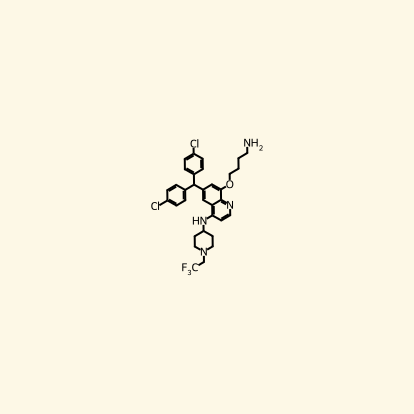 NCCCCOc1cc(C(c2ccc(Cl)cc2)c2ccc(Cl)cc2)cc2c(NC3CCN(CC(F)(F)F)CC3)ccnc12